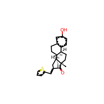 C[C@]12CC[C@@H]3c4ccc(O)cc4CC[C@H]3[C@@H]1CC(=Cc1cccs1)C2=O